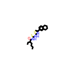 CCCCC(CC)C(=O)NC(=S)Nc1nc(-c2ccc3c(c2)CCCC3)cs1